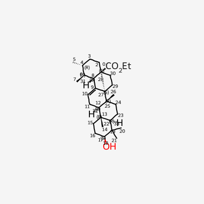 CCOC(=O)[C@]12CC[C@@H](C)[C@H](C)[C@H]1C1=CC[C@@H]3[C@@]4(C)CC[C@H](O)C(C)(C)[C@@H]4CC[C@@]3(C)[C@]1(C)CC2